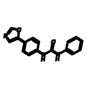 O=C(Nc1ccccc1)Nc1ccc(-c2cnco2)cc1